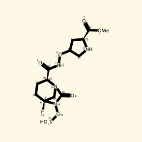 COC(=O)[C@@H]1CC(ONC(=O)[C@@H]2CC[C@@H]3CN2C(=O)N3OS(=O)(=O)O)CN1